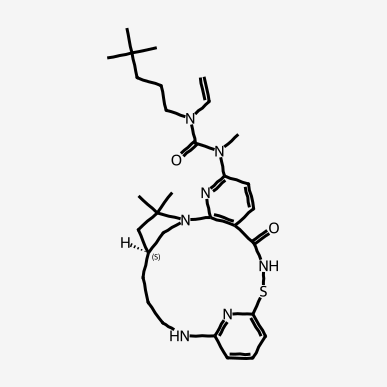 C=CN(CCCC(C)(C)C)C(=O)N(C)c1ccc2c(n1)N1C[C@@H](CCCNc3cccc(n3)SNC2=O)CC1(C)C